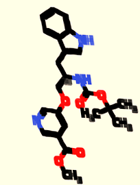 COC(=O)c1cncc(OC[C@@H](Cc2c[nH]c3ccccc23)NC(=O)OC(C)(C)C)c1